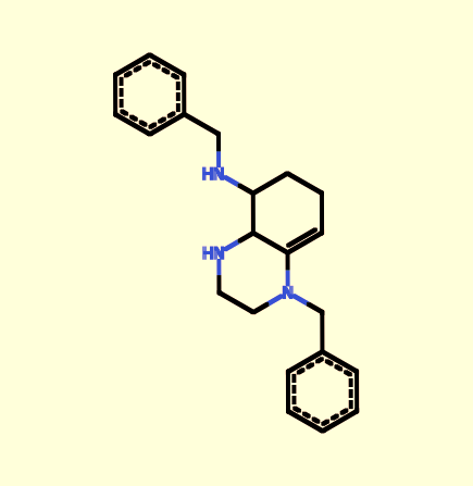 C1=C2C(NCCN2Cc2ccccc2)C(NCc2ccccc2)CC1